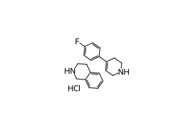 Cl.Fc1ccc(C2=CCNCC2)cc1.c1ccc2c(c1)CCNC2